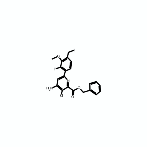 COc1c(CI)ccc(-c2cc(N)c(Cl)c(C(=O)OCc3ccccc3)n2)c1F